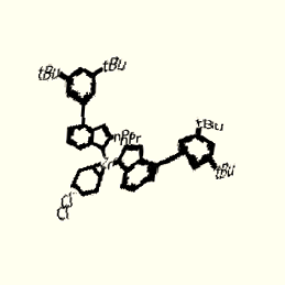 CCCC1=Cc2c(-c3cc(C(C)(C)C)cc(C(C)(C)C)c3)cccc2[CH]1[Zr+2]1([CH]2C(CCC)=Cc3c(-c4cc(C(C)(C)C)cc(C(C)(C)C)c4)cccc32)[CH]2CCCC[CH]21.[Cl-].[Cl-]